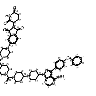 Nc1ncnc2c1c(-c1ccc(Oc3ccccc3)cc1)nn2C1CCN(C2CCN(C(=O)N3CCC(CN4CCN(c5ccc6c(c5)C(=O)N(C5CCC(=O)NC5=O)C6=O)CC4)CC3)CC2)CC1